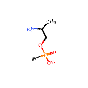 CC(N)COP(=O)(O)C(C)C